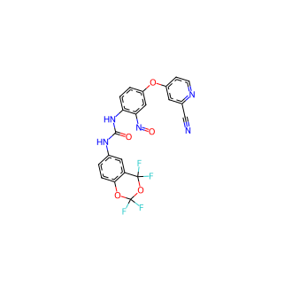 N#Cc1cc(Oc2ccc(NC(=O)Nc3ccc4c(c3)C(F)(F)OC(F)(F)O4)c(N=O)c2)ccn1